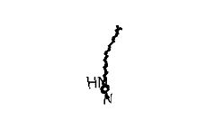 CC(C)CCCCCCCCCCCCCCNc1ccc(C#N)cc1